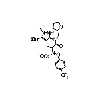 CC(C(=O)/[N+](C[C@H]1CCCO1)=c1\cc(C(C)(C)C)n(C)[nH]1)N(Oc1ccc(C(F)(F)F)cc1)C(=O)[O-]